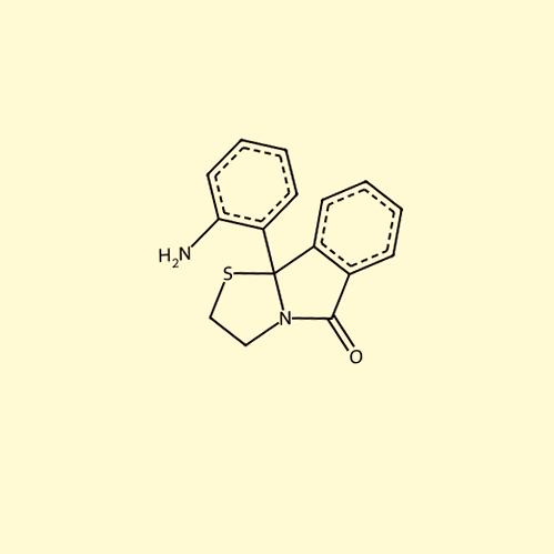 Nc1ccccc1C12SCCN1C(=O)c1ccccc12